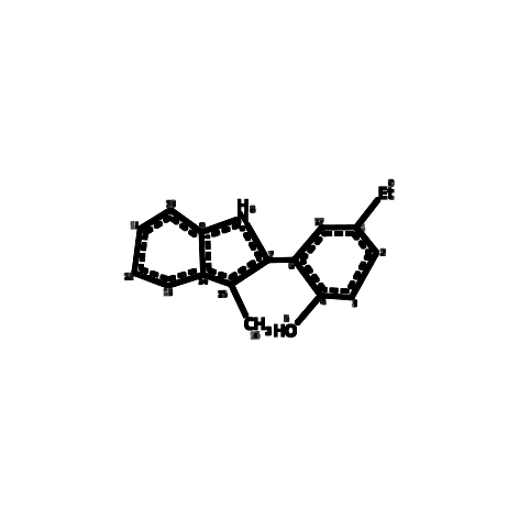 CCc1ccc(O)c(-c2[nH]c3ccccc3c2C)c1